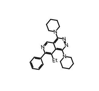 CCc1c(-c2ccccc2)ncc2c(N3CCCCC3)nnc(N3CCCCC3)c12